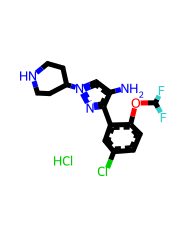 Cl.Nc1cn(C2CCNCC2)nc1-c1cc(Cl)ccc1OC(F)F